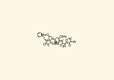 CC[C@H](C)[C@@H]([C@@H](CC(=O)N1C[C@@H](OC)CC1[C@H](OC)[C@@H](C)C(=O)NCCc1ccccc1)OC)N(C)C(=O)[C@@H](NC(=O)[C@H](C(C)C)N(C)C)C(C)C